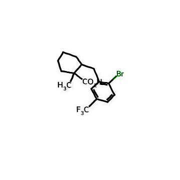 CC1(C(=O)O)CCCCC1Cc1cc(C(F)(F)F)ccc1Br